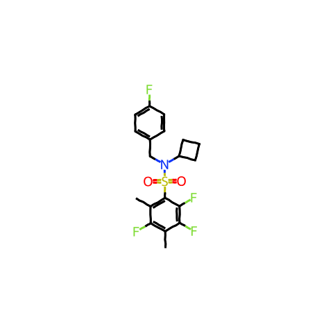 Cc1c(F)c(C)c(S(=O)(=O)N(Cc2ccc(F)cc2)C2CCC2)c(F)c1F